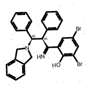 N=C(c1cc(Br)cc(Br)c1O)[C@H](c1ccccc1)[C@H](c1ccccc1)N1Cc2ccccc2C1